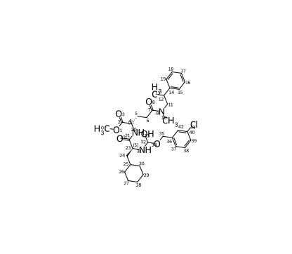 COC(=O)[C@H](CCC(=O)N(C)CC(C)c1ccccc1)NC(=O)[C@H](CC1CCCCC1)NC(O)OCc1cccc(Cl)c1